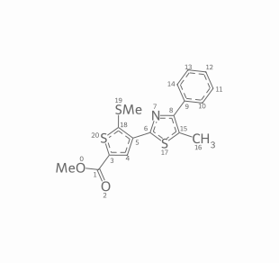 COC(=O)c1cc(-c2nc(-c3ccccc3)c(C)s2)c(SC)s1